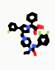 CCN(C(=O)NCc1ccc(F)c(F)c1)C1CCN(C[C@H]2CN([C@@H](C(=O)O)C3CCCCC3)C[C@@H]2c2cccc(F)c2)CC1